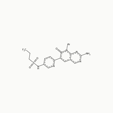 CC(C)n1c(=O)c(-c2ccc(NS(=O)(=O)CCC(F)(F)F)cn2)cc2cnc(N)nc21